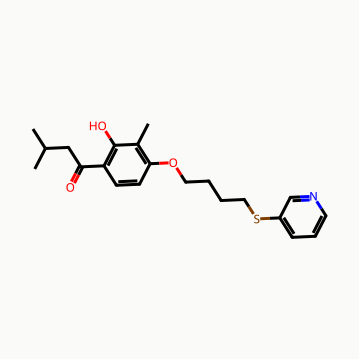 Cc1c(OCCCCSc2cccnc2)ccc(C(=O)CC(C)C)c1O